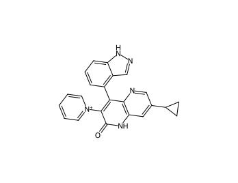 O=c1[nH]c2cc(C3CC3)cnc2c(-c2cccc3[nH]ncc23)c1-[n+]1ccccc1